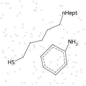 CCCCCCCCCCCCS.Nc1ccccc1